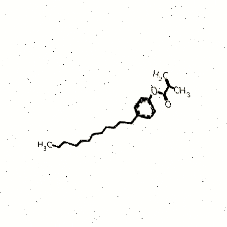 C=C(C)C(=O)Oc1ccc(CCCCCCCCCCCC)cc1